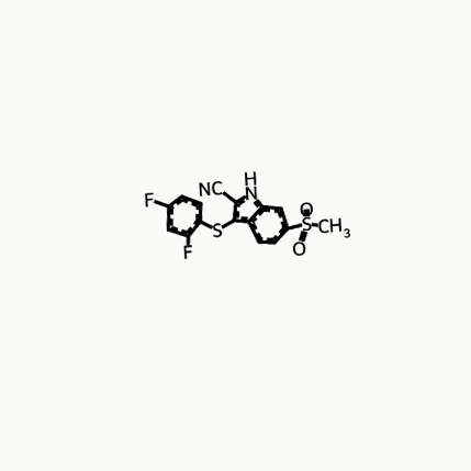 CS(=O)(=O)c1ccc2c(Sc3ccc(F)cc3F)c(C#N)[nH]c2c1